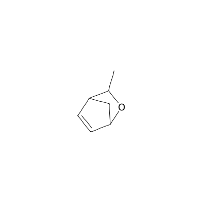 CC1OC2C=CC1C2